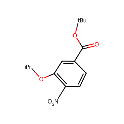 CC(C)Oc1cc(C(=O)OC(C)(C)C)ccc1[N+](=O)[O-]